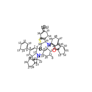 CC1CC2=C3B(C4C=C(C5=CC=CCC5)CC5C4N(C3C1)C(C)(C)C51CCCCC1)C1SC3=C(CCC(C(C)(C)C)=C3)C1N2C1=c2oc3c(c2=CCC1)C=CCC3